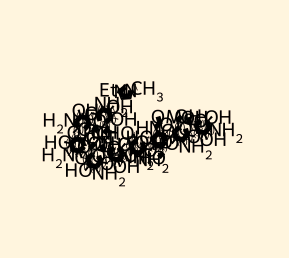 CCN1C=CN(C)C1.COC(=O)N[C@H]1[C@H](O[C@H]2[C@H](O)[C@@H](N)[C@H](O[C@H]3[C@H](O)[C@@H](N)[C@H](O)O[C@@H]3CO)O[C@@H]2CO)O[C@H](CO)[C@@H](O[C@@H]2O[C@H](CO)[C@@H](O[C@@H]3O[C@H](CO)[C@@H](O[C@@H]4O[C@H](CO)[C@@H](O[C@@H]5O[C@H](CO)[C@@H](O[C@@H]6O[C@H](CO)[C@@H](O[C@@H]7O[C@H](CO)[C@@H](O)[C@H](O)[C@H]7N)[C@H](O)[C@H]6N)[C@H](O)[C@H]5N)[C@H](O)[C@H]4N)[C@H](O)[C@H]3N)[C@H](O)[C@H]2N)[C@@H]1O